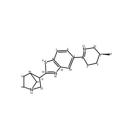 C[C@H]1CCC(c2ccc3sc(C4CN5CCC4C5)nc3c2)=NC1